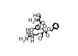 N=C(N)NCCC[C@@H](C=O)N(C(=O)OCc1ccccc1)C(=O)[C@@H]1CC(O)CN1C(=O)[C@H](N)CO